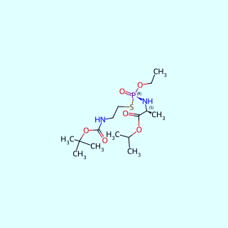 CCO[P@](=O)(N[C@@H](C)C(=O)OC(C)C)SCCNC(=O)OC(C)(C)C